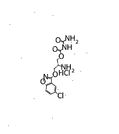 Cl.NC(=O)NC(=O)OCC(N)COc1noc2ccc(Cl)cc12